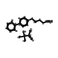 O=C(O)CCSC[n+]1ccc(-c2ncccn2)cc1.O=C([O-])C(F)(F)F